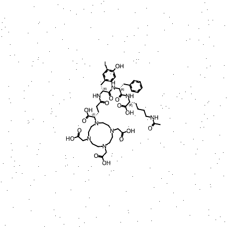 CC(=O)NCCCC[C@@H](NC(=O)[C@@H](Cc1ccccc1)NC(=O)[C@@H](Cc1ccc(O)c(I)c1)NC(=O)CC[C@@H](C(=O)O)N1CCN(CC(=O)O)CCN(CC(=O)O)CCN(CC(=O)O)CC1)C(=O)O